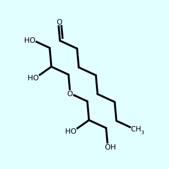 CCCCCCCC=O.OCC(O)COCC(O)CO